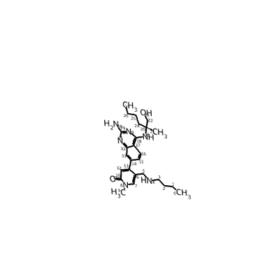 CCCCNCc1cn(C)c(=O)cc1-c1ccc2c(N[C@@](C)(CO)CCCC)nc(N)nc2c1